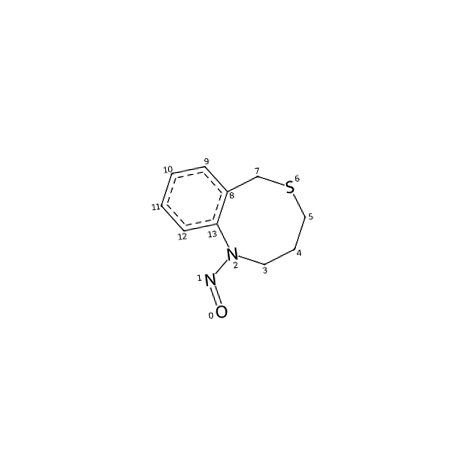 O=NN1CCCSCc2ccccc21